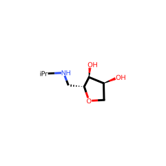 CC(C)NC[C@H]1OC[C@H](O)[C@@H]1O